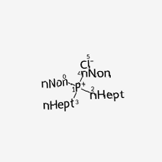 CCCCCCCCC[P+](CCCCCCC)(CCCCCCC)CCCCCCCCC.[Cl-]